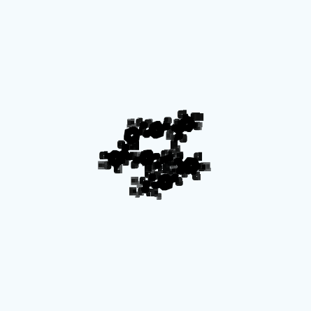 CC(=O)N(Cc1ccc(C(=O)Nc2sc3c(Cl)c(O)c(Cl)cc3c2C(N)=O)cc1)C1CCCC(NC(=O)c2c(NC(=O)c3ccc(CN(C(C)=O)C(C)(C)C(C)NC(=O)c4c(NC(=O)c5ccc(CN(C(C)=O)C(C)C(C)C)cc5)sc5c(Cl)c(O)c(Cl)cc45)cc3)sc3c(Cl)c(O)c(Cl)cc23)C1